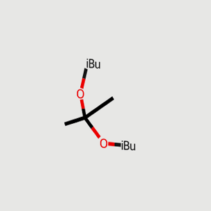 CCC(C)OC(C)(C)OC(C)CC